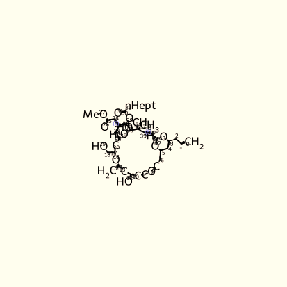 C=CC[C@H]1CC2CCOCC[C@@H](O)CC(=C)OC(CO)C[C@@H]3C/C(=C\C(=O)OC)[C@H](OC(=O)CCCCCCC)[C@@](O)(O3)C(C)(C)/C=C/[C@H](O2)O1